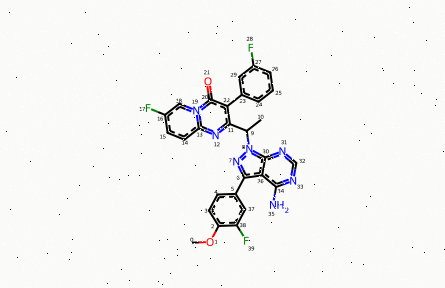 COc1ccc(-c2nn(C(C)c3nc4ccc(F)cn4c(=O)c3-c3cccc(F)c3)c3ncnc(N)c23)cc1F